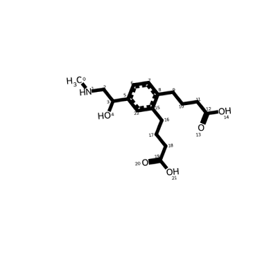 CNCC(O)c1ccc(CCCC(=O)O)c(CCCC(=O)O)c1